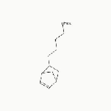 CCCCCCCCCCC1CC2[C]=CC1C2